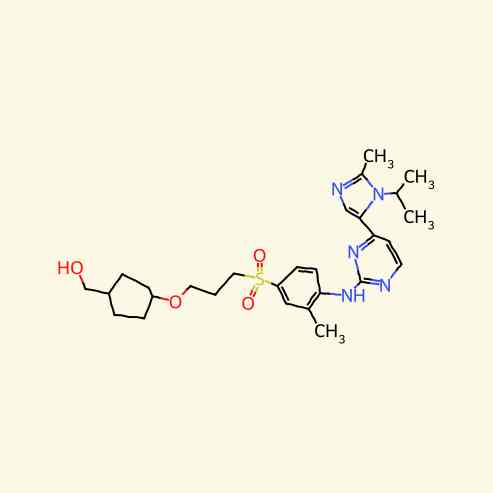 Cc1cc(S(=O)(=O)CCCOC2CCC(CO)CC2)ccc1Nc1nccc(-c2cnc(C)n2C(C)C)n1